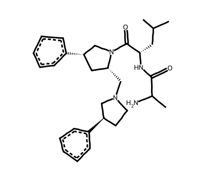 CC(C)C[C@H](NC(=O)C(C)N)C(=O)N1C[C@@H](c2ccccc2)C[C@H]1CN1CC[C@@H](c2ccccc2)C1